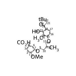 COc1ccc(C(=O)O)cc1OCCC(C)COc1ccc(C(=O)CC(C)(C)C)c(O)c1C